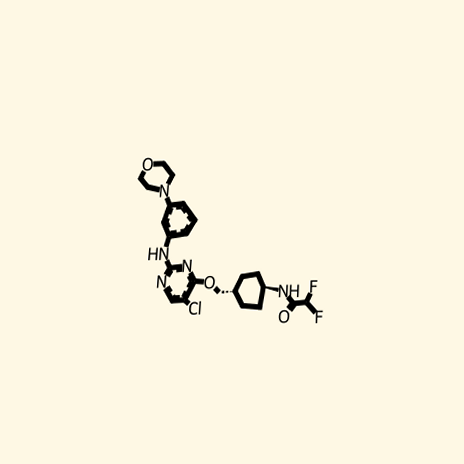 O=C(N[C@H]1CC[C@H](COc2nc(Nc3cccc(N4CCOCC4)c3)ncc2Cl)CC1)C(F)F